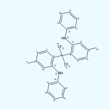 Cc1ccc(C(c2ccc(C)cc2Nc2ccccc2)(C(F)(F)F)C(F)(F)F)c(Nc2ccccc2)c1